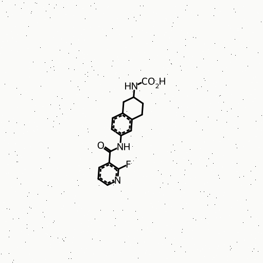 O=C(O)NC1CCc2cc(NC(=O)c3cccnc3F)ccc2C1